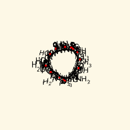 CCCC[C@H]1C(=O)N(C)[C@@H](CCCC)C(=O)N[C@@H](CCC(=O)O)C(=O)N[C@H](C(=O)NCC(N)=O)CNCC(=O)N[C@@H](Cc2ccc(F)cc2)C(=O)N(C)[C@@H](C)C(=O)N[C@@H](CC(N)=O)C(=O)N2CCC[C@H]2C(=O)N[C@@H](CCC(N)=O)C(=O)N[C@@H](CC(=O)O)C(=O)N2C[C@H](O)C[C@H]2C(=O)N[C@@H](Cc2c[nH]c3ccccc23)C(=O)N[C@@H](CC(N)=O)C(=O)N[C@@H](Cc2cn(CC(=O)O)c3ccccc23)C(=O)N1C